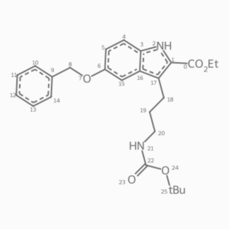 CCOC(=O)c1[nH]c2ccc(OCc3ccccc3)cc2c1CCCNC(=O)OC(C)(C)C